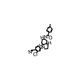 Cc1ccc(C(=O)N[C@@H]2CC[C@@H]3[C@@H](CCCN3c3ccc(C#N)c(Cl)c3)C2)cc1